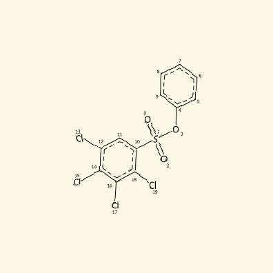 O=S(=O)(Oc1ccccc1)c1cc(Cl)c(Cl)c(Cl)c1Cl